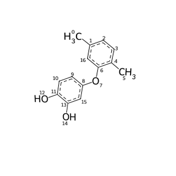 Cc1ccc(C)c(Oc2ccc(O)c(O)c2)c1